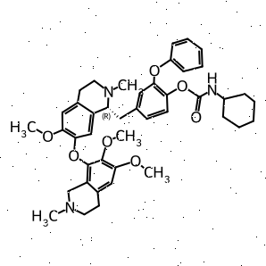 COc1cc2c(cc1Oc1c3c(cc(OC)c1OC)CCN(C)C3)[C@@H](Cc1ccc(OC(=O)NC3CCCCC3)c(Oc3ccccc3)c1)N(C)CC2